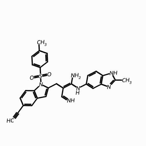 C#Cc1ccc2c(c1)cc(C/C(C=N)=C(\N)Nc1ccc3[nH]c(C)nc3c1)n2S(=O)(=O)c1ccc(C)cc1